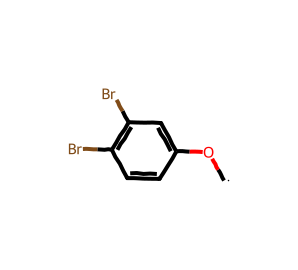 [CH2]Oc1ccc(Br)c(Br)c1